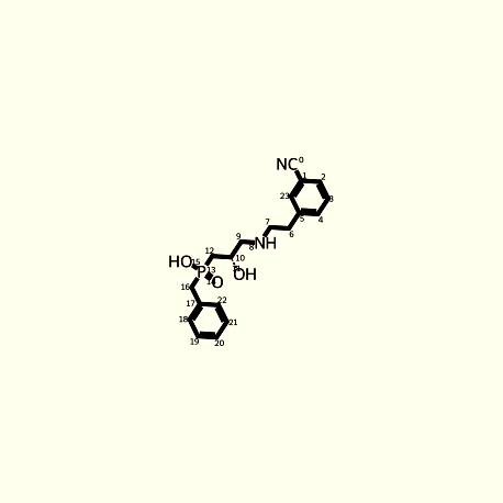 N#Cc1cccc(CCNC[C@H](O)CP(=O)(O)Cc2ccccc2)c1